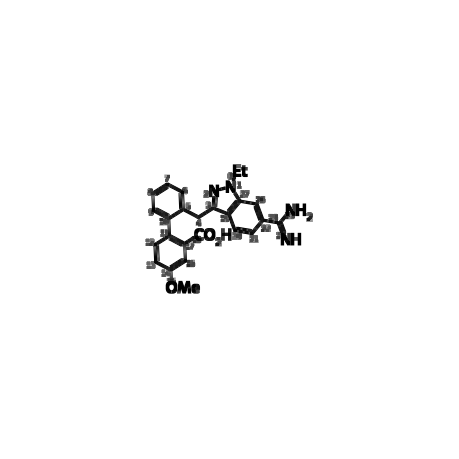 CCn1nc(Cc2ccccc2-c2ccc(OC)cc2C(=O)O)c2ccc(C(=N)N)cc21